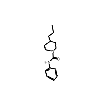 CCCC1CCN(C(=O)Nc2ccccc2)CC1